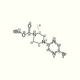 C[C@@H]1CN(c2cnc(Br)cn2)CCN1C(=O)OC(C)(C)C